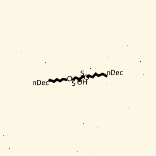 CCCCCCCCCCCCCCCCOC(=S)CC(O)C(=S)OCCCCCCCCCCCCCCCC